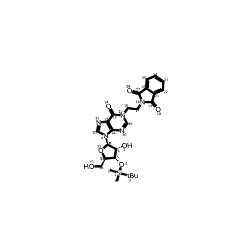 CC(C)(C)[Si](C)(C)O[C@H]1[C@@H](O)[C@H](n2cnc3c(=O)n(CCN4C(=O)c5ccccc5C4=O)cnc32)O[C@@H]1CO